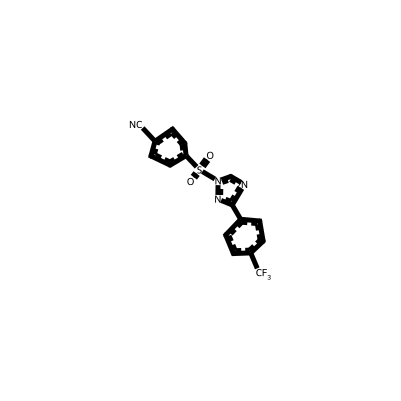 N#Cc1ccc(S(=O)(=O)n2cnc(-c3ccc(C(F)(F)F)cc3)n2)cc1